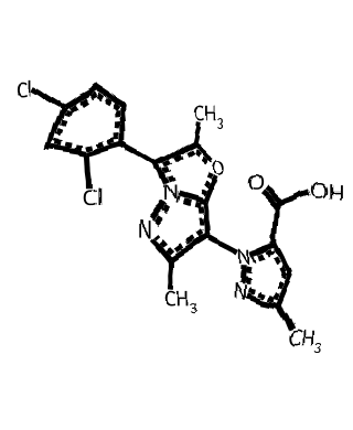 Cc1cc(C(=O)O)n(-c2c(C)nn3c(-c4ccc(Cl)cc4Cl)c(C)oc23)n1